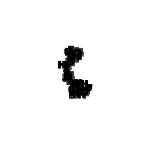 CC(=O)c1[nH]c2ccc(F)cc2c1/C(N)=C/NCC1CCN(CCNc2ccc(-c3c(F)cccc3C(F)(F)F)cc2)CC1